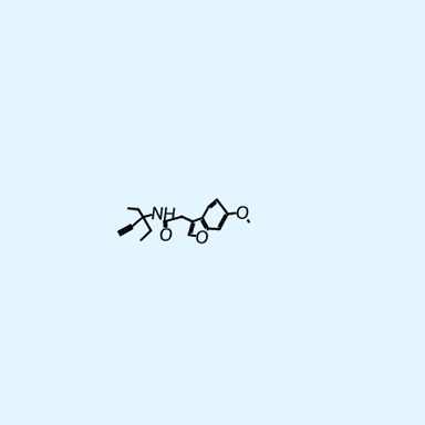 C#CC(CC)(CC)NC(=O)Cc1coc2cc(OC)ccc12